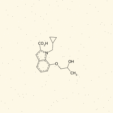 CC(O)COc1cccc2cc(C(=O)O)n(CC3CC3)c12